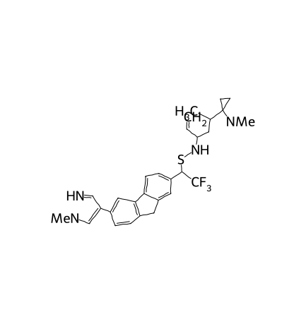 C=CC(CC(C)C1(NC)CC1)NSC(c1ccc2c(c1)Cc1ccc(/C(C=N)=C/NC)cc1-2)C(F)(F)F